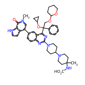 Cn1cc(-c2ccc3nc(N4CCC(N5CCC(C)(NC(=O)O)CC5)CC4)nc(C(COC4CCCCO4)(OC4CC4)c4ccccc4)c3c2)c2cc[nH]c2c1=O